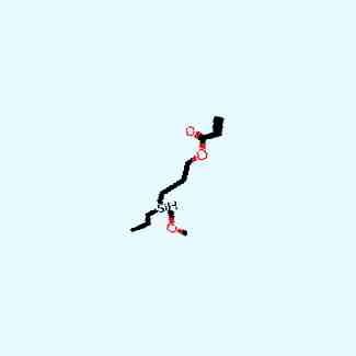 C=CC(=O)OCCC[SiH](CCC)COC